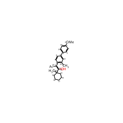 COc1ccc(-c2ccc(/C(C(C)=O)=C(\O)C3(C)CCCCC3)c(C)c2)cc1